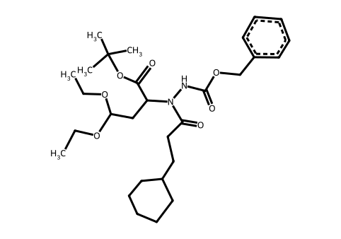 CCOC(CC(C(=O)OC(C)(C)C)N(NC(=O)OCc1ccccc1)C(=O)CCC1CCCCC1)OCC